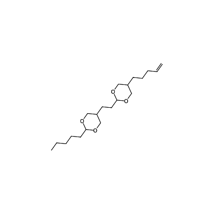 C=CCCCC1COC(CCC2COC(CCCCC)OC2)OC1